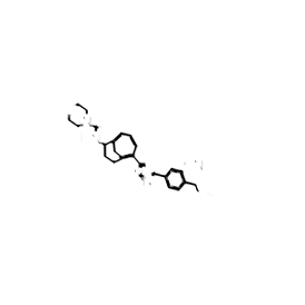 CC(C)Cc1ccc(-c2nnc(C3=C4CCC(NC(=O)N5CCOCC5)C(=CC=C3)C4)s2)cc1C#N